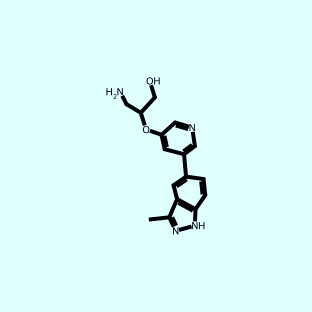 Cc1n[nH]c2ccc(-c3cncc(OC(CN)CO)c3)cc12